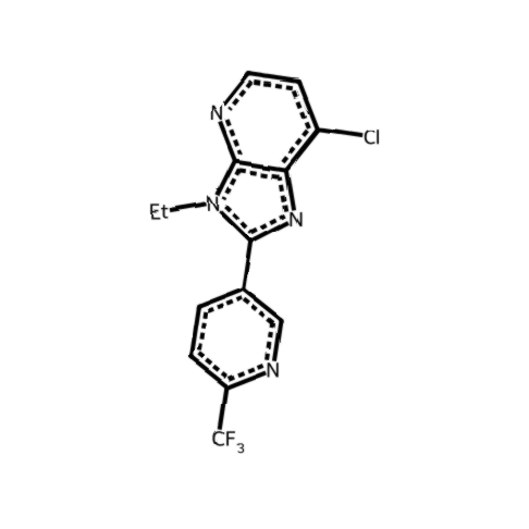 CCn1c(-c2ccc(C(F)(F)F)nc2)nc2c(Cl)ccnc21